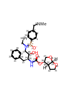 CNCc1ccc([S+]([O-])N(CC(C)C)C[C@@H](O)[C@H](Cc2ccccc2)NC(=O)O[C@H]2CO[C@H]3OCC[C@H]32)cc1